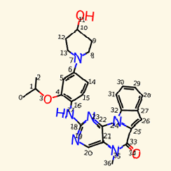 CC(C)Oc1cc(N2CCC(O)CC2)ccc1Nc1ncc2c(n1)n1c(cc3ccccc31)c(=O)n2C